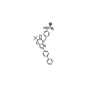 CC(C)(C)C(=O)N[C@@H](Cc1ccc(N[SH](=O)=O)cc1)c1nc(-c2ccc(-c3ccccc3)cc2)cs1